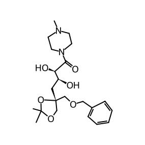 CN1CCN(C(=O)[C@H](O)[C@@H](O)C[C@@]2(COCc3ccccc3)COC(C)(C)O2)CC1